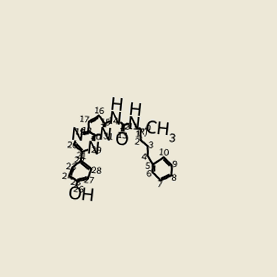 C[C@H](CCCc1ccccc1)NC(=O)Nc1ccc2ncc(-c3ccc(O)cc3)nc2n1